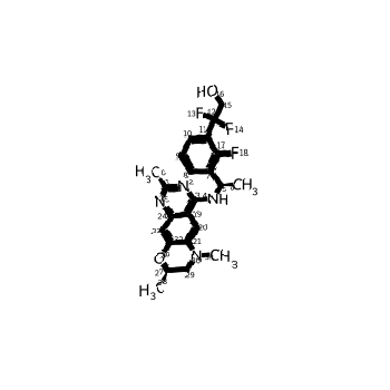 Cc1nc(N[C@H](C)c2cccc(C(F)(F)CO)c2F)c2cc3c(cc2n1)O[C@H](C)CN3C